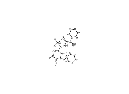 COC(=O)C1CC2(CN1C(=O)C(NC(=O)C(N)C1CCCCC1)C(C)(C)C)SCCCS2